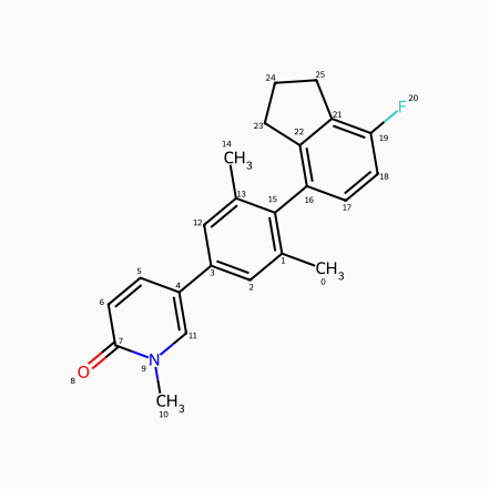 Cc1cc(-c2ccc(=O)n(C)c2)cc(C)c1-c1ccc(F)c2c1CCC2